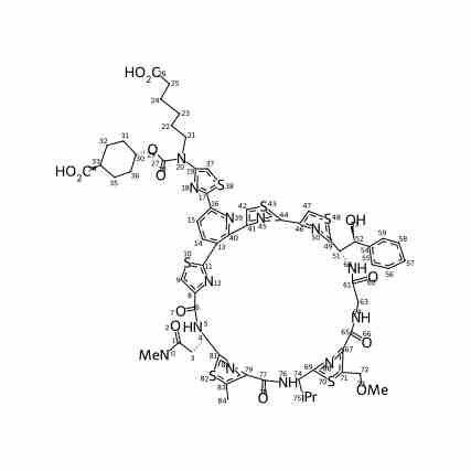 CNC(=O)C[C@@H]1NC(=O)c2csc(n2)-c2ccc(-c3nc(N(CCCCCC(=O)O)C(=O)O[C@H]4CC[C@H](C(=O)O)CC4)cs3)nc2-c2csc(n2)-c2csc(n2)[C@H]([C@@H](O)c2ccccc2)NC(=O)CNC(=O)c2nc(sc2COC)C(C(C)C)NC(=O)c2nc1sc2C